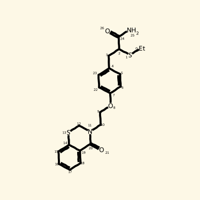 CCSC(Cc1ccc(OCCN2CSc3ccccc3C2=O)cc1)C(N)=O